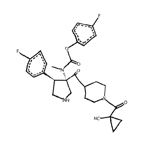 CN(C(=O)Oc1ccc(F)cc1)[C@]1(C(=O)C2CCN(C(=O)C3(C#N)CC3)CC2)CNC[C@H]1c1ccc(F)cc1